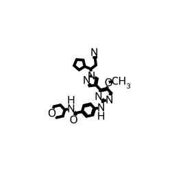 COc1cnc(Nc2ccc(C(=O)NC3CCOCC3)cc2)nc1-c1cnn(C(CC#N)C2CCCC2)c1